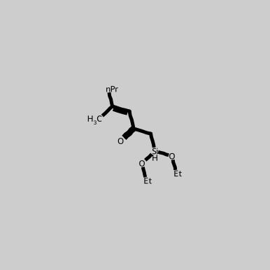 CCCC(C)=CC(=O)C[SiH](OCC)OCC